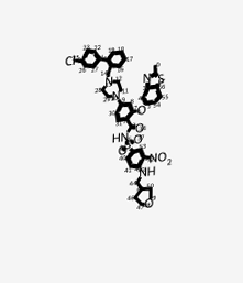 Cc1nc2cc(Oc3cc(N4CCN(Cc5ccccc5-c5ccc(Cl)cc5)CC4)ccc3C(=O)NS(=O)(=O)c3ccc(NCC4CCOCC4)c([N+](=O)[O-])c3)ccc2s1